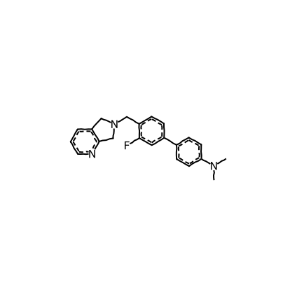 CN(C)c1ccc(-c2ccc(CN3Cc4cccnc4C3)c(F)c2)cc1